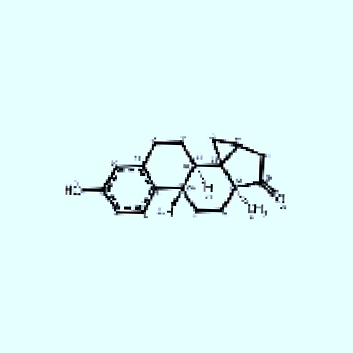 C[C@]12CC[C@@H]3c4ccc(O)cc4CC[C@H]3C13CC3CC2=O